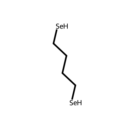 [SeH]CCCC[SeH]